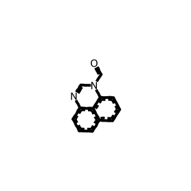 O=CN1C=Nc2cccc3cccc1c23